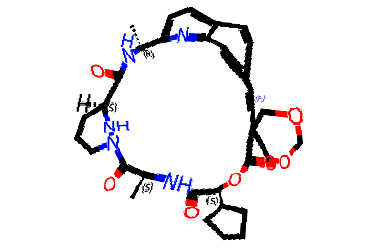 C[C@@H]1NC(=O)[C@H](C2CCCC2)OC(=O)C2(/C=C/c3ccc4ccc(nc4c3)[C@@H](C)NC(=O)[C@@H]3CCCN(N3)C1=O)COCOC2